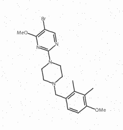 COc1ccc(CN2CCN(c3ncc(Br)c(OC)n3)CC2)c(C)c1C